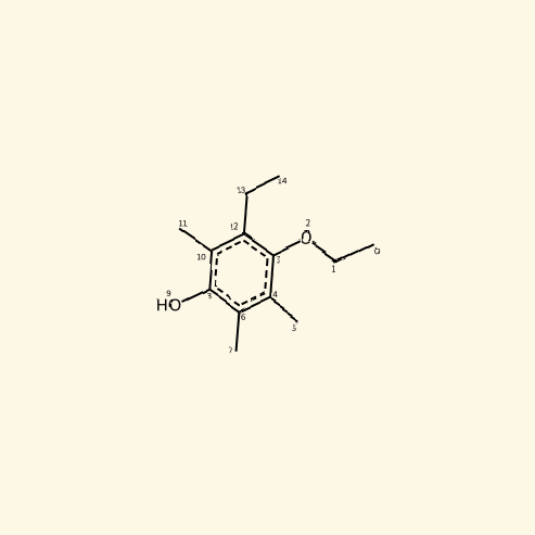 CCOc1c(C)c(C)c(O)c(C)c1CC